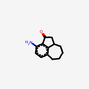 Nc1ccc2c3c1C(=O)CC3CCCC2